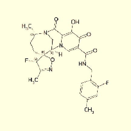 CC1=NO[C@@]2(CC[C@H](C)N3C[C@H]2n2cc(C(=O)NCc4ccc(C)cc4F)c(=O)c(O)c2C3=O)[C@H]1F